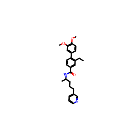 CCc1cc(C(=O)NC(C)CCCc2cccnc2)ccc1-c1ccc(OC)c(OC)c1